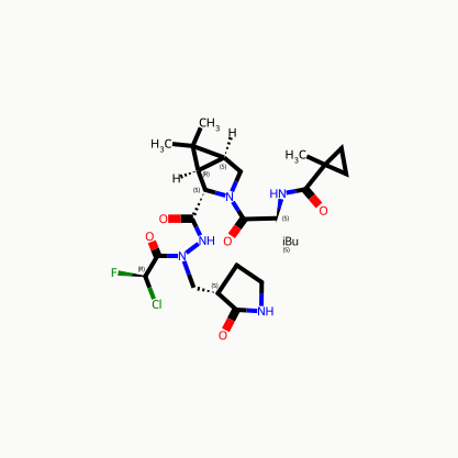 CC[C@H](C)[C@H](NC(=O)C1(C)CC1)C(=O)N1C[C@H]2[C@@H]([C@H]1C(=O)NN(C[C@@H]1CCNC1=O)C(=O)[C@H](F)Cl)C2(C)C